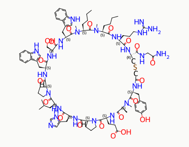 CCCC[C@H]1C(=O)N(C)[C@@H](CCCC)C(=O)N[C@@H](CCCNC(=N)N)C(=O)N[C@H](C(=O)NCC(N)=O)CSCC(=O)N[C@@H](Cc2ccc(O)cc2)C(=O)N(C)[C@@H](C)C(=O)N[C@@H](CCC(=O)O)C(=O)N2CCC[C@H]2C(=O)N[C@@H](Cc2cnc[nH]2)C(=O)N[C@@H](CC(C)C)C(=O)N2CCC[C@H]2C(=O)N[C@@H](Cc2c[nH]c3ccccc23)C(=O)N[C@@H](CO)C(=O)N[C@@H](Cc2c[nH]c3ccccc23)C(=O)N1C